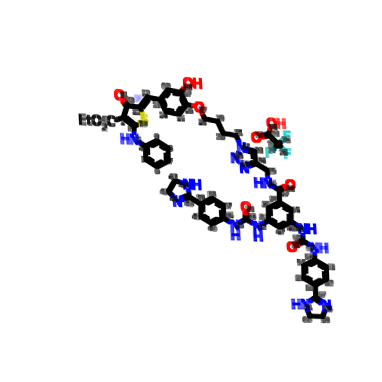 CCOC(=O)C1=C(Nc2ccccc2)S/C(=C\c2ccc(OCCCCn3cc(CNC(=O)c4cc(NC(=O)Nc5ccc(C6=NCCN6)cc5)cc(NC(=O)Nc5ccc(C6=NCCN6)cc5)c4)nn3)c(O)c2)C1=O.O=C(O)C(F)(F)F